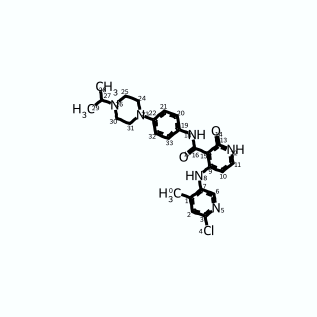 Cc1cc(Cl)ncc1Nc1cc[nH]c(=O)c1C(=O)Nc1ccc(N2CCN(C(C)C)CC2)cc1